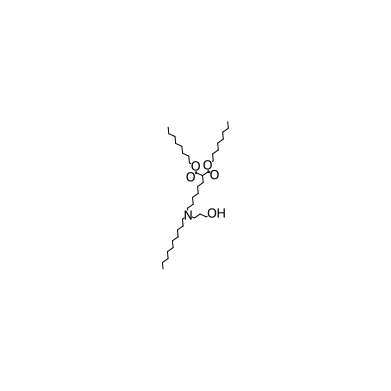 CCCCCCCCCCN(CCCO)CCCCCCC(C(=O)OCCCCCCCC)C(=O)OCCCCCCCC